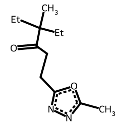 CCC(C)(CC)C(=O)CCc1nnc(C)o1